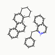 c1ccc(Cc2nccc3ccccc23)cc1.c1ccc2c(c1)ccc1c3c(ccc12)CCCC3